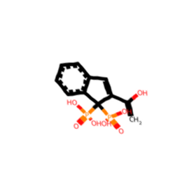 C=C(O)C1=Cc2ccccc2C1(P(=O)(O)O)P(=O)(O)O